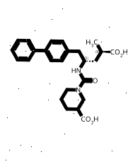 C[C@H](C[C@@H](Cc1ccc(-c2ccccc2)cc1)NC(=O)N1CCCC(C(=O)O)C1)C(=O)O